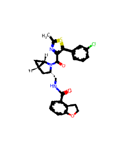 Cc1nc(C(=O)N2[C@H](CNC(=O)c3cccc4c3CCO4)C[C@@H]3C[C@@H]32)c(-c2cccc(Cl)c2)s1